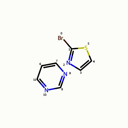 Brc1nccs1.c1cncnc1